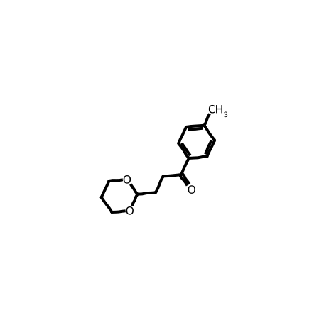 Cc1ccc(C(=O)CCC2OCCCO2)cc1